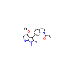 C=CC(=O)N1CCc2ccc(-c3c(I)[nH]c4nccc(OCC)c34)cc21